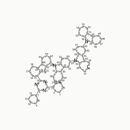 c1ccc(-c2nc(-c3ccccc3)nc(-c3cccc4c3sc3c(-n5c6ccccc6c6cc(-n7c8ccccc8c8cc(-n9c%10ccccc%10c%10ccccc%109)ccc87)ccc65)cccc34)n2)cc1